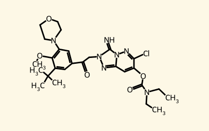 CCN(CC)C(=O)Oc1cc2nn(CC(=O)c3cc(N4CCOCC4)c(OC)c(C(C)(C)C)c3)c(=N)n2nc1Cl